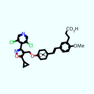 COc1ccc(C=CC23CCC(OCc4c(-c5c(Cl)cncc5Cl)noc4C4CC4)(CC2)CC3)cc1CCC(=O)O